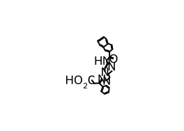 O=C(O)Cc1nn(Cc2cnc(NC(=O)c3ccc4ccccc4c3)cn2)c2ccccc12